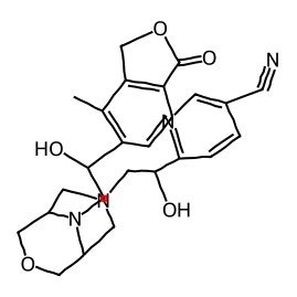 Cc1c(C(O)CN2C3COCC2CN(CC(O)c2ccc(C#N)cn2)C3)ccc2c1COC2=O